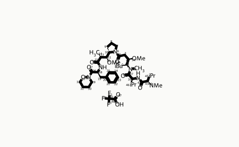 CC[C@H](C)[C@@H]([C@@H](CC(=O)N1CCC[C@H]1[C@H](OC)[C@@H](C)C(=O)N[C@@H](Cc1ccccc1)C(=O)N1CCCCO1)OC)N(C)C(=O)[C@@H](NC(=O)[C@@H](NC)C(C)C)C(C)C.O=C(O)C(F)(F)F